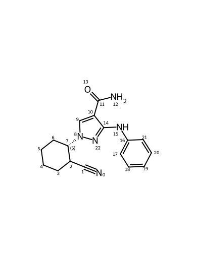 N#CC1CCCC[C@@H]1n1cc(C(N)=O)c(Nc2ccccc2)n1